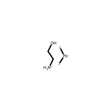 [I][Pb][I].[NH3+]CCO